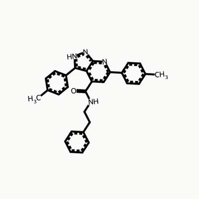 Cc1ccc(-c2cc(C(=O)NCCc3ccccc3)c3c(-c4ccc(C)cc4)[nH]nc3n2)cc1